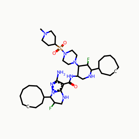 CN1CCC(S(=O)(=O)N2CCN(C3C(NC(=O)c4c(N)nn5c4NCC(F)C5C4CCCCCCCCC4)CNC(C4CCCCCCCC4)C3F)CC2)CC1